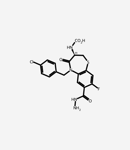 NNC(=O)c1cc2c(cc1F)SC[C@H](NC(=O)O)C(=O)N2Cc1ccc(Cl)cc1